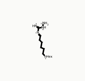 CCCCCCCCCCCC=NC(=N)NN